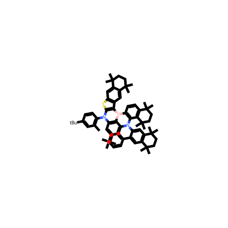 Cc1cc(C(C)(C)C)ccc1N1c2cc([Si](C)(C)C)cc3c2B(c2ccc4c(c2N3c2cc3c(cc2-c2ccccc2)C(C)(C)CCC3(C)C)C(C)(C)CCC4(C)C)c2c1sc1cc3c(cc21)C(C)(C)CCC3(C)C